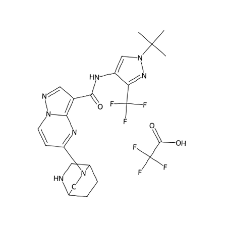 CC(C)(C)n1cc(NC(=O)c2cnn3ccc(N4CC5CCC4CN5)nc23)c(C(F)(F)F)n1.O=C(O)C(F)(F)F